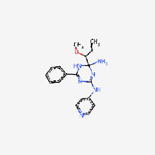 CCC(OC)C1(N)N=C(Nc2ccncc2)N=C(c2ccccc2)N1